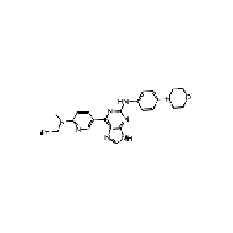 CC(C)CN(C)c1ccc(-c2nc(Nc3ccc(N4CCOCC4)cc3)nc3[nH]cnc23)cn1